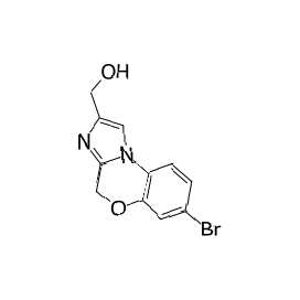 OCc1cn2c(n1)COc1cc(Br)ccc1-2